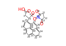 O=C(O)CC(C(=O)ON1C(=O)CCC1=O)c1ccc2ccc3cccc4ccc1c2c34